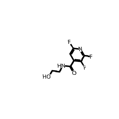 O=C(NCCO)c1cc(F)nc(F)c1F